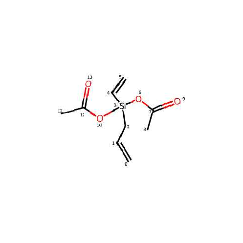 C=CC[Si](C=C)(OC(C)=O)OC(C)=O